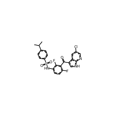 CC(C)c1ccc(S(=O)(=O)Nc2ccc(F)c(C(=O)c3c[nH]c4ncc(Cl)cc34)c2F)cc1